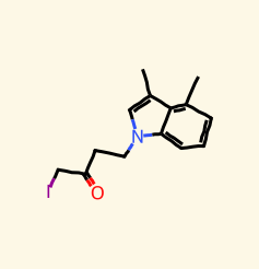 Cc1cccc2c1c(C)cn2CCC(=O)CI